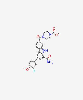 COC(=O)N1CCN(C(=O)c2ccc3c(c2)[nH]c2c(C(N)=O)cc(-c4ccc(OC)c(F)c4)cc23)CC1